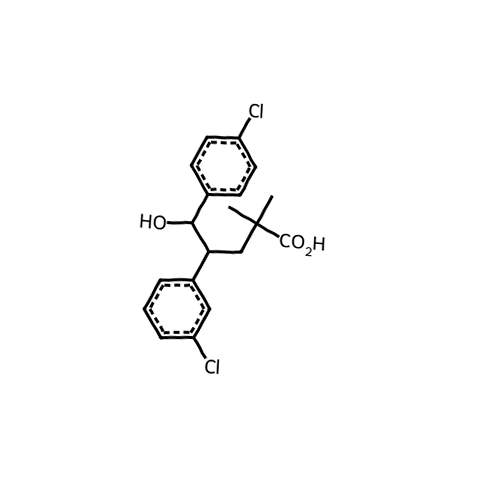 CC(C)(CC(c1cccc(Cl)c1)C(O)c1ccc(Cl)cc1)C(=O)O